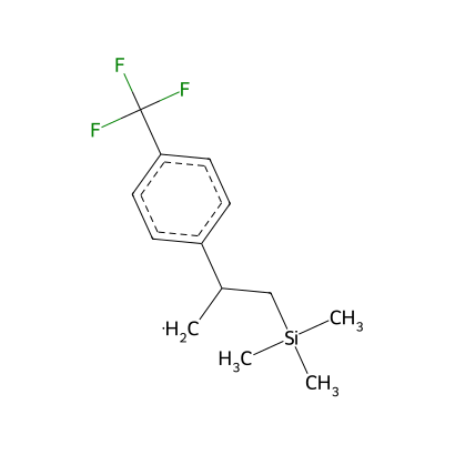 [CH2]C(C[Si](C)(C)C)c1ccc(C(F)(F)F)cc1